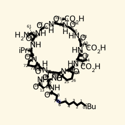 CCC(C)CCCCC/C=C\CC(=O)N[C@@H](CC(N)=O)C(=O)N[C@@H]1C(=O)N2CCCC[C@@H]2C(=O)N[C@@H]([C@H](C)C(=O)O)C(=O)N[C@@H](CC(=O)O)C(=O)NCC(=O)N[C@@H](CC(=O)O)C(=O)NCC(=O)N[C@H]([C@@H](C)N)C(=O)N[C@H](C(C)C)C(=O)N2CCC[C@H]2C(=O)N[C@@H]1C